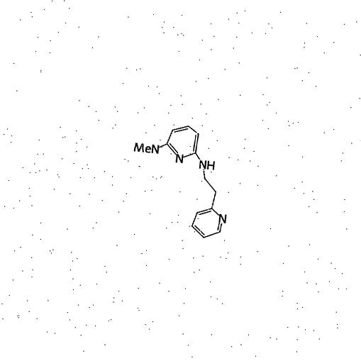 CNc1cccc(NCCc2ccccn2)n1